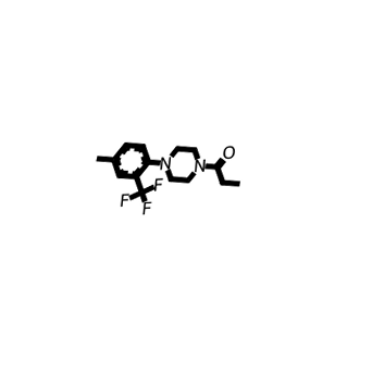 CCC(=O)N1CCN(c2ccc(C)cc2C(F)(F)F)CC1